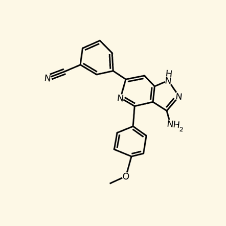 COc1ccc(-c2nc(-c3cccc(C#N)c3)cc3[nH]nc(N)c23)cc1